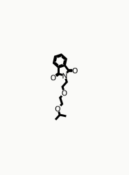 CC(C)OCCOCCN1C(=O)c2ccccc2C1=O